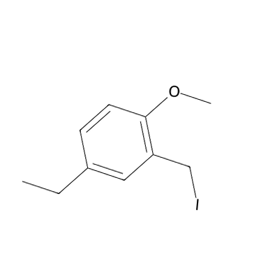 CCc1ccc(OC)c(CI)c1